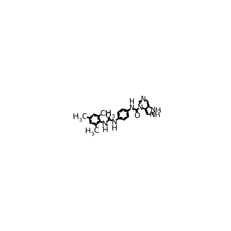 Cc1cc(C)c(NC(=O)Nc2ccc(NC(=O)N3C=NC=C4NNC=C43)cc2)c(C)c1